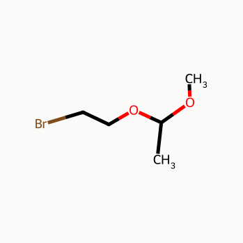 COC(C)OCCBr